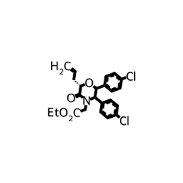 C=CC[C@@H]1OC(c2ccc(Cl)cc2)C(c2ccc(Cl)cc2)N(CC(=O)OCC)C1=O